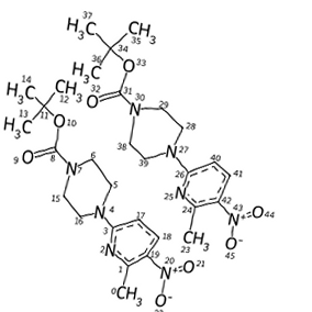 Cc1nc(N2CCN(C(=O)OC(C)(C)C)CC2)ccc1[N+](=O)[O-].Cc1nc(N2CCN(C(=O)OC(C)(C)C)CC2)ccc1[N+](=O)[O-]